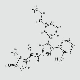 Cc1ccccc1-n1nc(NC(=O)[C@H]2CNC(=O)[C@@H]2C)cc1-c1cccc(OCC(F)(F)F)c1